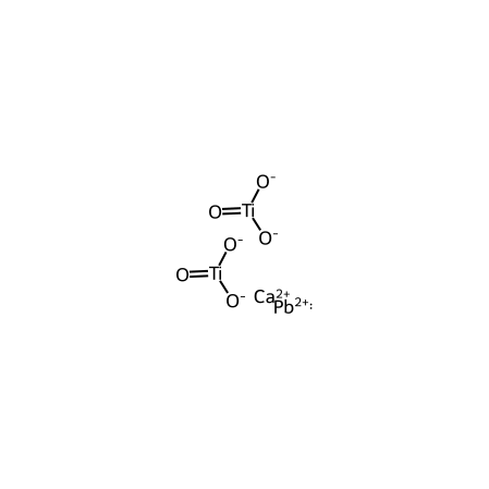 [Ca+2].[O]=[Ti]([O-])[O-].[O]=[Ti]([O-])[O-].[Pb+2]